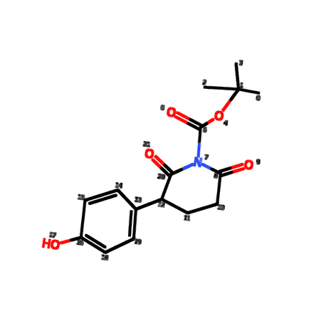 CC(C)(C)OC(=O)N1C(=O)CCC(c2ccc(O)cc2)C1=O